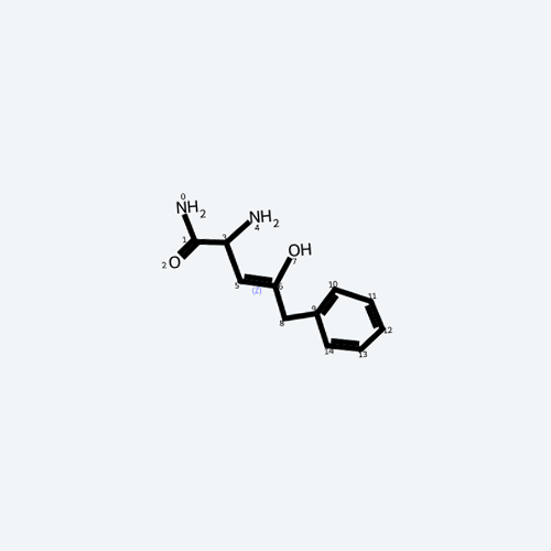 NC(=O)C(N)/C=C(\O)Cc1ccccc1